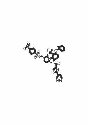 O=C(Nc1ccc(Oc2ccccc2)c(C(F)(F)F)c1N1CCC[C@@H](CNS(=O)(=O)c2ccc([N+](=O)[O-])cc2)C1)c1csc(-c2ccnnc2)n1